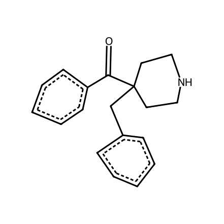 O=C(c1ccccc1)C1(Cc2ccccc2)CCNCC1